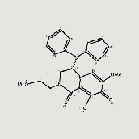 COCCN1C[C@H](C(c2ccccc2)c2ccccc2)n2cc(OC)c(=O)c(O)c2C1=O